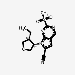 CC[C@@H]1COC[C@@H]1n1c(C#N)cc2cnc(S(C)(=O)=O)nc21